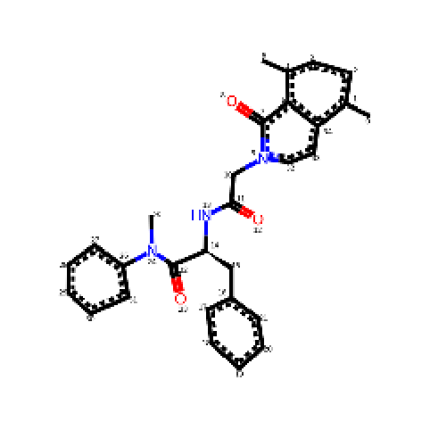 Cc1ccc(C)c2c(=O)n(CC(=O)N[C@@H](Cc3ccccc3)C(=O)N(C)c3ccccc3)ccc12